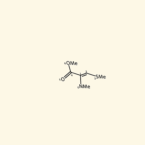 CN/C(=C\SC)C(=O)OC